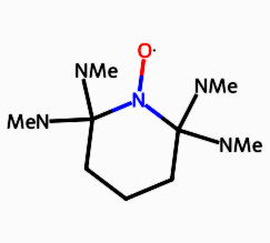 CNC1(NC)CCCC(NC)(NC)N1[O]